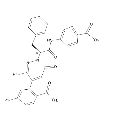 CC(=O)c1ccc(Cl)cc1-c1cc(=O)n([C@@H](Cc2ccccc2)C(=O)Nc2ccc(C(=O)O)cc2)nc1O